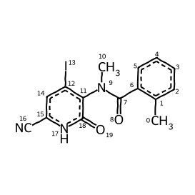 Cc1ccccc1C(=O)N(C)c1c(I)cc(C#N)[nH]c1=O